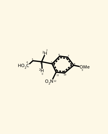 [2H]C([2H])(CC(=O)O)c1ccc(OC)cc1[N+](=O)[O-]